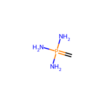 C=P(N)(N)N